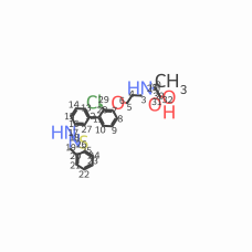 C[C@H](NCCCOc1cccc(-c2cccc(NN3Cc4ccccc4S3)c2)c1Cl)C(=O)O